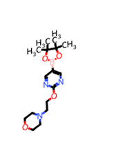 CC1(C)OB(c2cnc(OCCN3CCOCC3)nc2)OC1(C)C